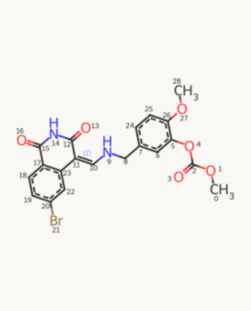 COC(=O)Oc1cc(CN/C=C2\C(=O)NC(=O)c3ccc(Br)cc32)ccc1OC